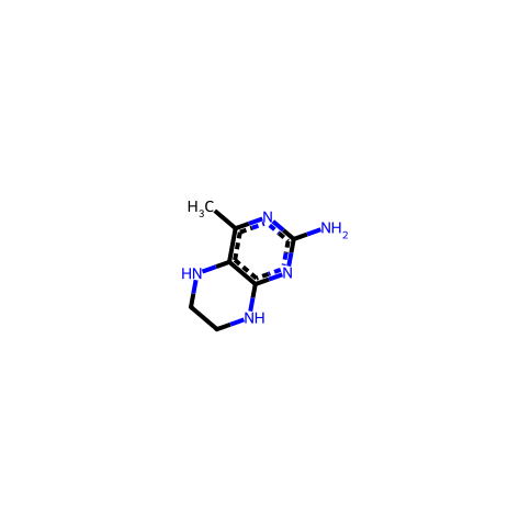 Cc1nc(N)nc2c1NCCN2